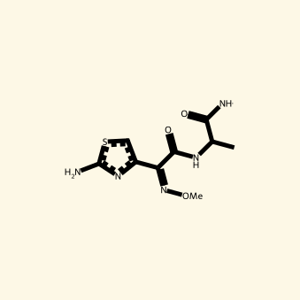 CO/N=C(\C(=O)NC(C)C([NH])=O)c1csc(N)n1